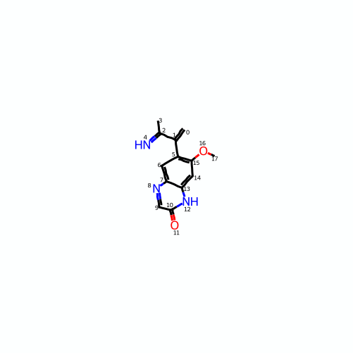 C=C(C(C)=N)c1cc2ncc(=O)[nH]c2cc1OC